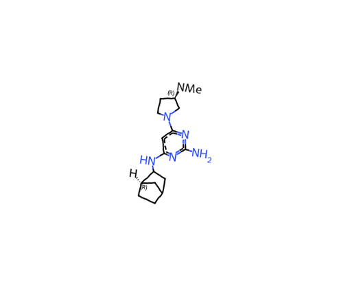 CN[C@@H]1CCN(c2cc(NC3CC4CC[C@@H]3C4)nc(N)n2)C1